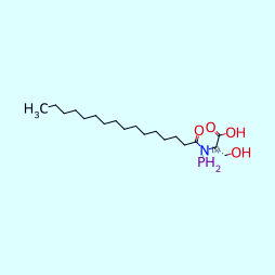 CCCCCCCCCCCCCCCC(=O)N(P)[C@@H](CO)C(=O)O